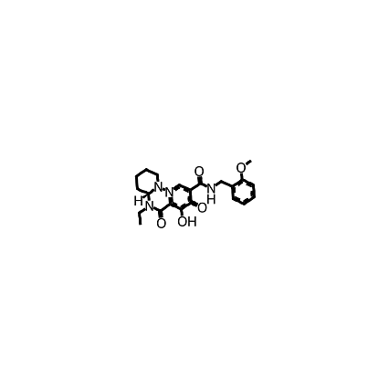 CCN1C(=O)c2c(O)c(=O)c(C(=O)NCc3ccccc3OC)cn2N2CCCC[C@@H]12